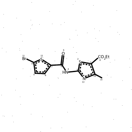 CCOC(=O)c1sc(NC(=O)c2ccc(Br)s2)nc1C